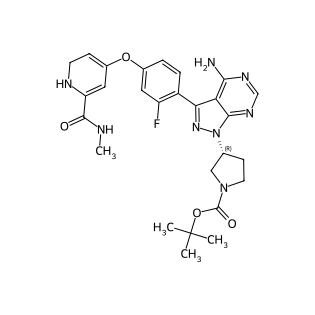 CNC(=O)C1=CC(Oc2ccc(-c3nn([C@@H]4CCN(C(=O)OC(C)(C)C)C4)c4ncnc(N)c34)c(F)c2)=CCN1